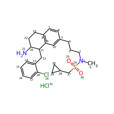 CN(CCCc1ccc2c(c1)C(Cc1ccccc1Cl)C(N)CC2)S(=O)(=O)CC1CC1.Cl